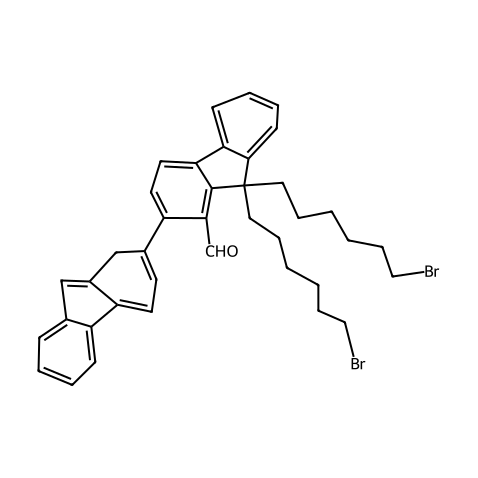 O=Cc1c(C2=CC=C3C(=Cc4ccccc43)C2)ccc2c1C(CCCCCCBr)(CCCCCCBr)c1ccccc1-2